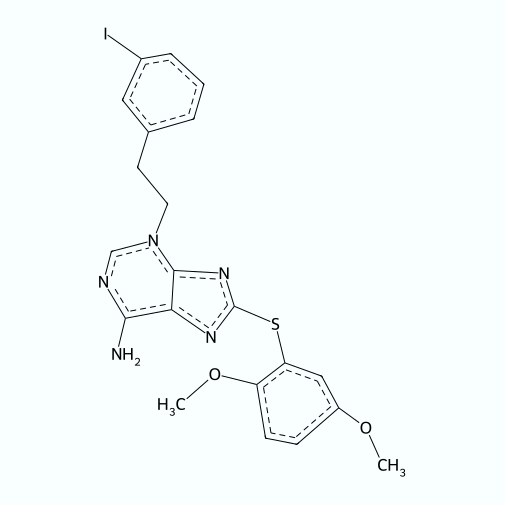 COc1ccc(OC)c(Sc2nc3c(N)ncn(CCc4cccc(I)c4)c-3n2)c1